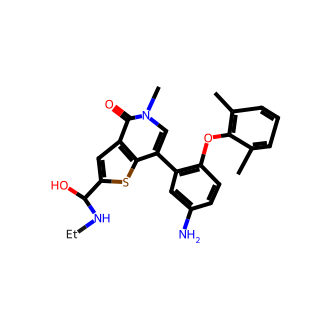 CCNC(O)c1cc2c(=O)n(C)cc(-c3cc(N)ccc3Oc3c(C)cccc3C)c2s1